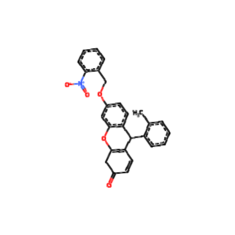 Cc1ccccc1C1C2=C(CC(=O)C=C2)Oc2cc(OCc3ccccc3[N+](=O)[O-])ccc21